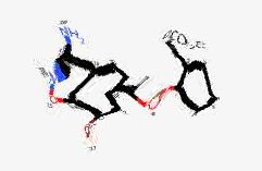 CCOC(=O)Cc1ccccc1OCc1cc(Br)c2onc(N)c2c1